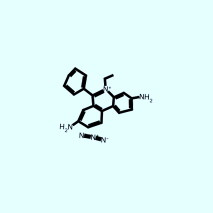 CC[n+]1c(-c2ccccc2)c2cc(N)ccc2c2ccc(N)cc21.[N-]=[N+]=[N-]